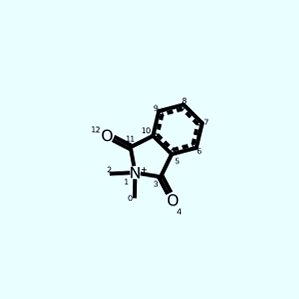 C[N+]1(C)C(=O)c2ccccc2C1=O